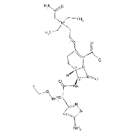 CC[N+](CC)(C/C=C/C1=C(C(=O)[O-])N2C(=O)[C@@H](NC(=O)/C(=N\OCF)c3nsc(N)n3)[C@@H]2SC1)CC(N)=O